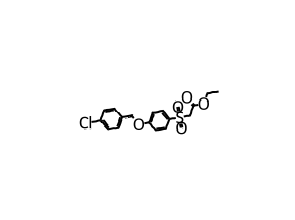 CCOC(=O)CS(=O)(=O)c1ccc(OCc2ccc(Cl)cc2)cc1